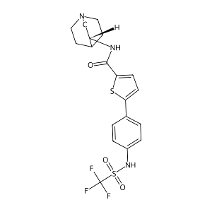 O=C(N[C@H]1CN2CCC1CC2)c1ccc(-c2ccc(NS(=O)(=O)C(F)(F)F)cc2)s1